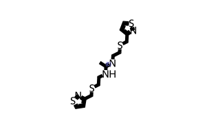 C/C(=N\CCSCc1ccsn1)NCCSCc1ccsn1